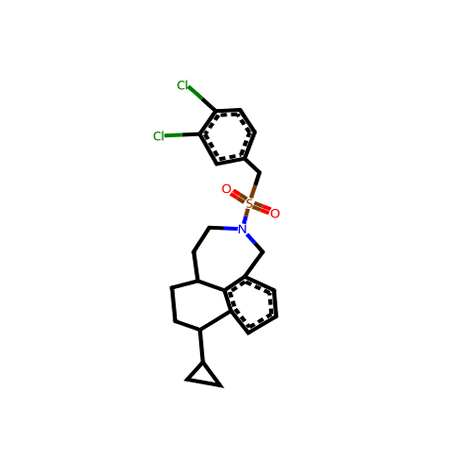 O=S(=O)(Cc1ccc(Cl)c(Cl)c1)N1CCC2CCC(C3CC3)c3cccc(c32)C1